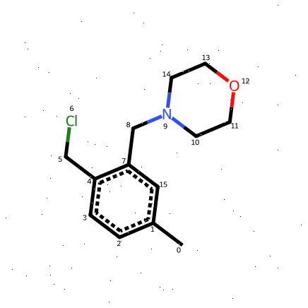 Cc1ccc(CCl)c(CN2CCOCC2)c1